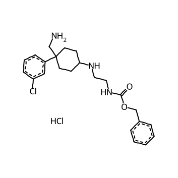 Cl.NCC1(c2cccc(Cl)c2)CCC(NCCNC(=O)OCc2ccccc2)CC1